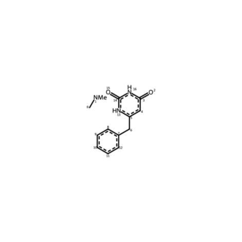 CNC.O=c1cc(Cc2ccccc2)[nH]c(=O)[nH]1